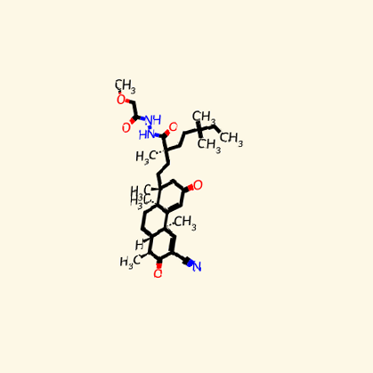 CCC(C)(C)CC[C@@](C)(CC[C@]1(C)CC(=O)C=C2[C@@]3(C)C=C(C#N)C(=O)[C@@H](C)[C@@H]3CC[C@]21C)C(=O)NNC(=O)COC